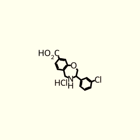 Cl.O=C(O)c1ccc2c(c1)OCC(c1cccc(Cl)c1)NC2